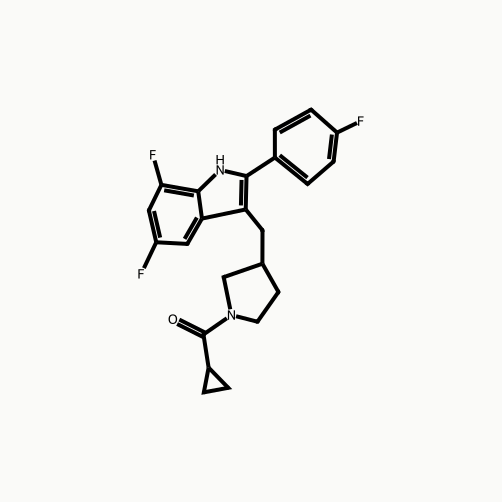 O=C(C1CC1)N1CCC(Cc2c(-c3ccc(F)cc3)[nH]c3c(F)cc(F)cc23)C1